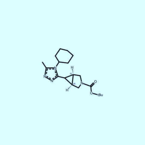 Cc1nnc(C2[C@H]3CN(C(=O)OC(C)(C)C)C[C@@H]23)n1C1CCCCC1